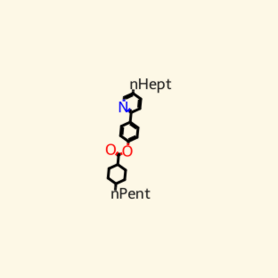 CCCCCCCc1ccc(-c2ccc(OC(=O)C3CCC(CCCCC)CC3)cc2)nc1